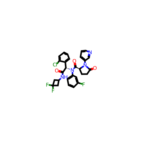 O=C(NC1CC(F)(F)C1)[C@H](c1ccccc1Cl)N(C(=O)[C@@H]1CCC(=O)N1c1cccnc1)c1cccc(F)c1